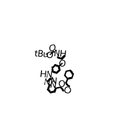 C=C(CNC(=O)OC(C)(C)C)Oc1ccc(Nc2nc3cccc(C4=COC=C(C5=CC=CCC5)O4)n3n2)cc1